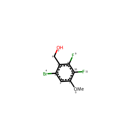 COc1cc(Br)c(CO)c(F)c1F